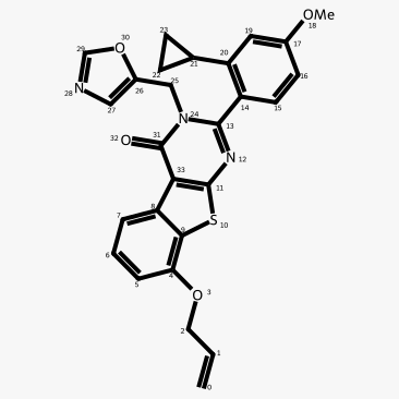 C=CCOc1cccc2c1sc1nc(-c3ccc(OC)cc3C3CC3)n(Cc3cnco3)c(=O)c12